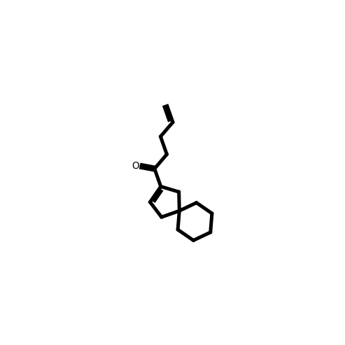 C=CCCC(=O)C1=CCC2(CCCCC2)C1